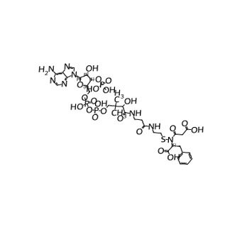 CC(C)(COP(=O)(O)OP(=O)(O)OC[C@H]1O[C@@H](n2cnc3c(N)ncnc32)[C@H](O)[C@@H]1OP(=O)(O)O)C(O)C(=O)NCCC(=O)NCCSN(C(=O)CC(=O)O)[C@@H](Cc1ccccc1)C(=O)O